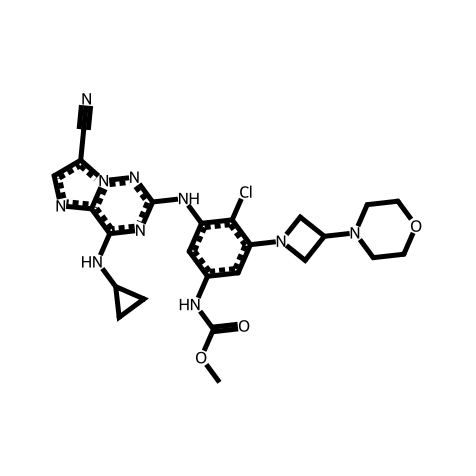 COC(=O)Nc1cc(Nc2nc(NC3CC3)c3ncc(C#N)n3n2)c(Cl)c(N2CC(N3CCOCC3)C2)c1